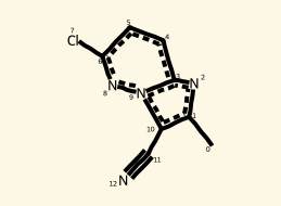 Cc1nc2ccc(Cl)nn2c1C#N